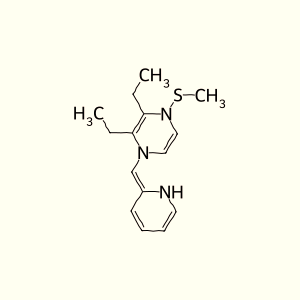 CCC1=C(CC)N(SC)C=CN1/C=C1/C=CC=CN1